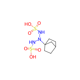 O=S(=O)(O)NN(NS(=O)(=O)O)C12CCC(CC1)C2